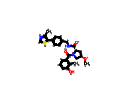 CO[C@@H]1C[C@@H](C(=O)NCc2ccc(-c3scnc3C)cc2)N(C(=O)c2cccc(O)c2C)C1